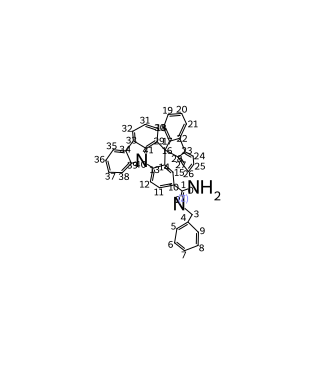 N/C(=N\Cc1ccccc1)c1ccc2c(c1)C1(c3ccccc3-c3ccccc31)c1cccc3c4ccccc4n-2c13